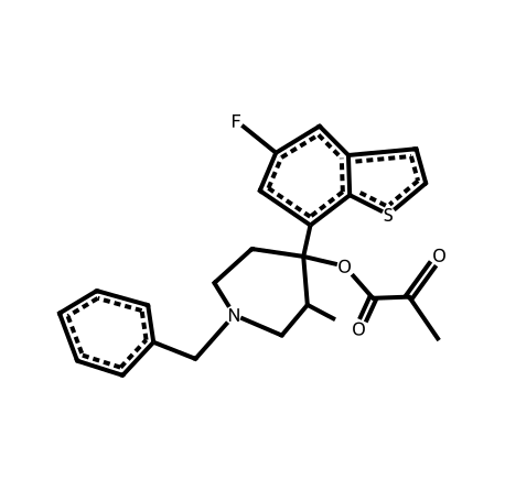 CC(=O)C(=O)OC1(c2cc(F)cc3ccsc23)CCN(Cc2ccccc2)CC1C